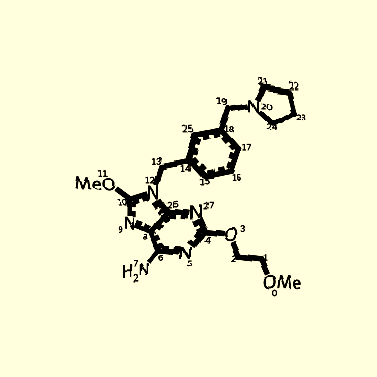 COCCOc1nc(N)c2nc(OC)n(Cc3cccc(CN4CCCC4)c3)c2n1